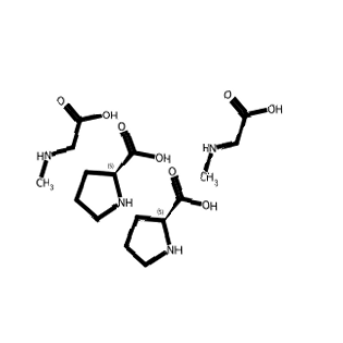 CNCC(=O)O.CNCC(=O)O.O=C(O)[C@@H]1CCCN1.O=C(O)[C@@H]1CCCN1